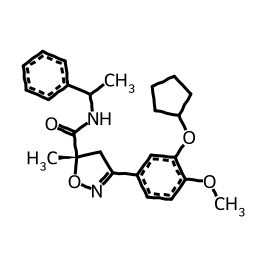 COc1ccc(C2=NO[C@](C)(C(=O)NC(C)c3ccccc3)C2)cc1OC1CCCC1